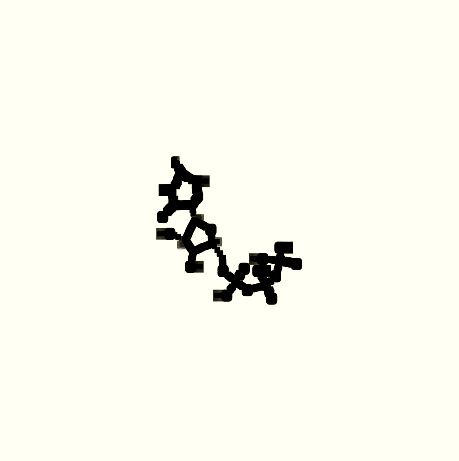 O=c1[nH]c(=S)[nH]cc1[C@@H]1O[C@H](COP(=O)(O)OP(=O)(O)OP(=O)(O)O)C(O)[C@@H]1O